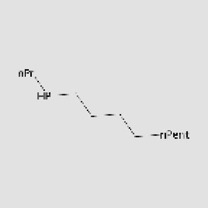 CCCCCCCCCPCCC